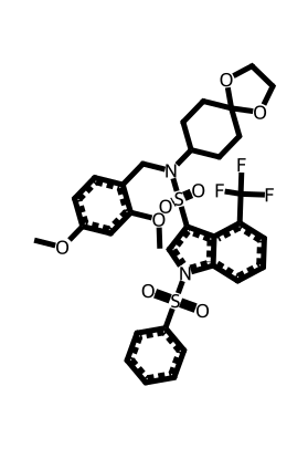 COc1ccc(CN(C2CCC3(CC2)OCCO3)S(=O)(=O)c2cn(S(=O)(=O)c3ccccc3)c3cccc(C(F)(F)F)c23)c(OC)c1